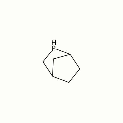 C1CC2CC1CP2